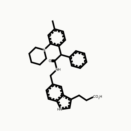 Cc1ccc(C(C(=O)NCc2ccc3[nH]cc(CCC(=O)O)c3c2)c2ccccc2)c(N2CCCCC2)c1